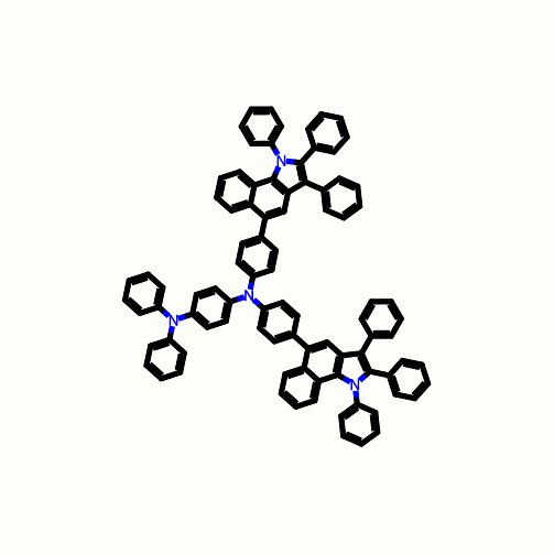 c1ccc(-c2c(-c3ccccc3)n(-c3ccccc3)c3c2cc(-c2ccc(N(c4ccc(-c5cc6c(-c7ccccc7)c(-c7ccccc7)n(-c7ccccc7)c6c6ccccc56)cc4)c4ccc(N(c5ccccc5)c5ccccc5)cc4)cc2)c2ccccc23)cc1